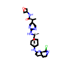 CC(C(=O)NC1COC1)c1cnc(N[C@@H](C)C23CCC(Nc4ccc5ccnc(Cl)c5n4)(CC2)CC3)nc1